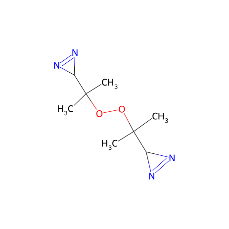 CC(C)(OOC(C)(C)C1N=N1)C1N=N1